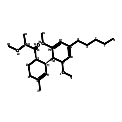 CCCCCC1=CC(OC)C([C@@H]2C=C(C)CC[C@H]2C(=O)N(C)OC)C(OC)=C1